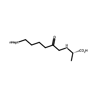 CCCCCCCCCCCC(=O)CN[C@@H](C)C(=O)O